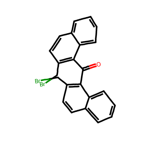 O=C(c1c(CBr)ccc2ccccc12)c1c(CBr)ccc2ccccc12